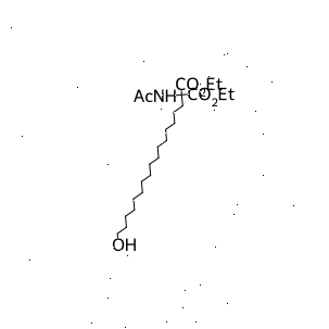 CCOC(=O)C(CCCCCCCCCCCCCCCCO)(NC(C)=O)C(=O)OCC